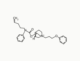 C=CCCCN(C(=O)O[C@H]1C[N+]2(CCCOc3ccccc3)CCC1CC2)c1ccccc1